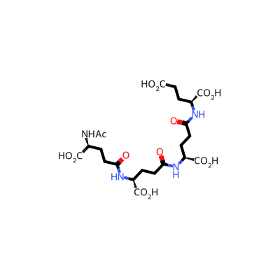 CC(=O)N[C@@H](CCC(=O)N[C@@H](CCC(=O)N[C@@H](CCC(=O)N[C@@H](CCC(=O)O)C(=O)O)C(=O)O)C(=O)O)C(=O)O